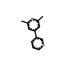 Cc1cc(-c2cccnc2)cc(C)n1